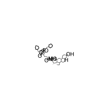 C[C@H](CCNC(=O)CCC(CP(C)(=O)OCc1ccccc1)C(=O)OCc1ccccc1)[C@H]1CCC2C3CC[C@@H]4C[C@H](O)CC[C@]4(C)C3C[C@H](O)[C@@]21C